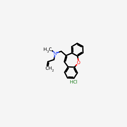 C=CCN(C)CC1=Cc2ccccc2Oc2ccccc21.Cl